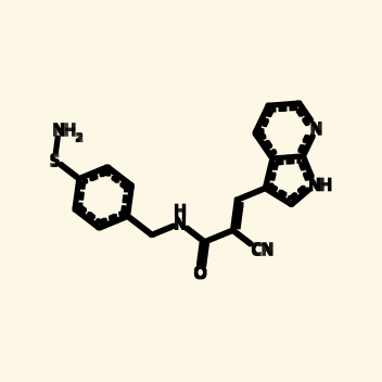 N#C/C(=C\c1c[nH]c2ncccc12)C(=O)NCc1ccc(SN)cc1